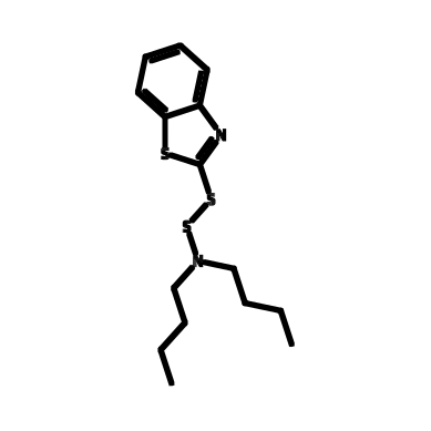 CCCCN(CCCC)SSc1nc2ccccc2s1